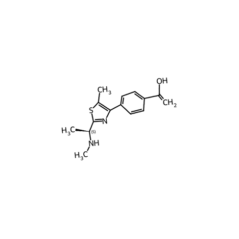 C=C(O)c1ccc(-c2nc([C@H](C)NC)sc2C)cc1